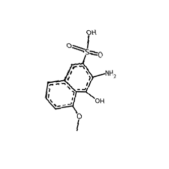 COc1cccc2cc(S(=O)(=O)O)c(N)c(O)c12